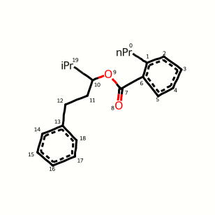 CCCc1ccccc1C(=O)OC(CCc1ccccc1)C(C)C